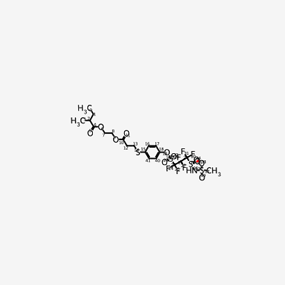 CCC(C)C(=O)OCCOC(=O)CCSc1ccc(OS(=O)(=O)C(F)(F)C(F)(F)C(F)(F)S(=O)(=O)NS(C)(=O)=O)cc1